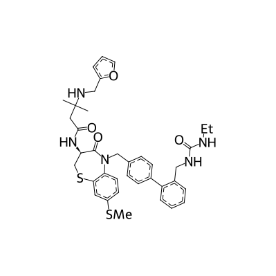 CCNC(=O)NCc1ccccc1-c1ccc(CN2C(=O)[C@H](NC(=O)CC(C)(C)NCc3ccco3)CSc3cc(SC)ccc32)cc1